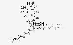 CCCCCCCC[PH](CCCCCCCC)(CCCCCCCC)C(O)CCCCCCC